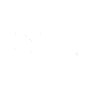 CCCCCCCC(C)(CCCC)n1nc(I)c(F)c1Cl